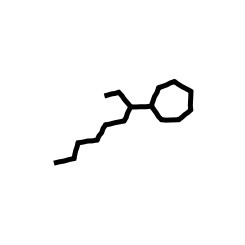 CCCCCCC(CC)[C]1CCCCCC1